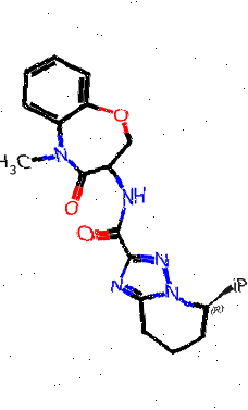 CC(C)[C@H]1CCCc2nc(C(=O)NC3COc4ccccc4N(C)C3=O)nn21